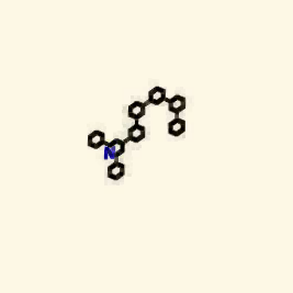 c1ccc(-c2cccc(-c3cccc(-c4cccc(-c5cccc(-c6cc(-c7ccccc7)nc(-c7ccccc7)c6)c5)c4)c3)c2)cc1